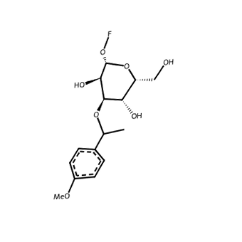 COc1ccc(C(C)O[C@@H]2[C@@H](O)[C@@H](CO)O[C@@H](OF)[C@@H]2O)cc1